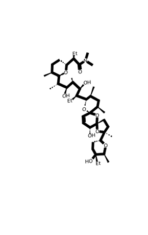 CC[C@@H]([C@H](O)[C@@H](C)[C@@H](O)[C@H](C)[C@@H]1O[C@@H]([C@@H](CC)C(=O)N(C)C)CC[C@@H]1C)[C@H]1O[C@]2(C=C[C@@H](O)[C@]3(CC[C@@](C)([C@H]4CC[C@](O)(CC)[C@H](C)O4)O3)O2)[C@H](C)C[C@@H]1C